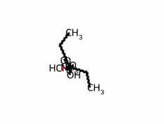 CCCCCCCC/C=C\CCCCCCCC(=O)OCCN1CCN(CCO)C1C(=O)CCCCCCC/C=C\CCCCCCCC.Cl.N